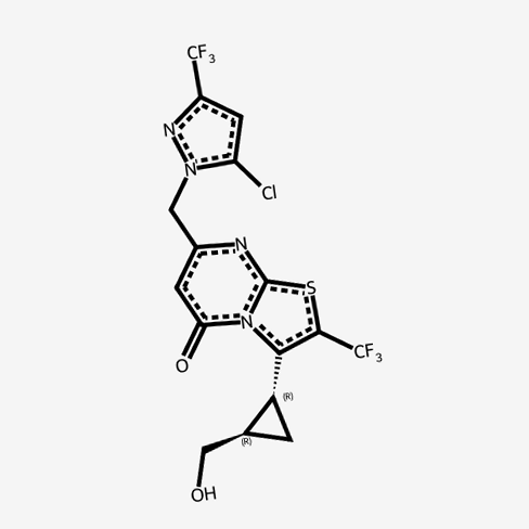 O=c1cc(Cn2nc(C(F)(F)F)cc2Cl)nc2sc(C(F)(F)F)c([C@@H]3C[C@H]3CO)n12